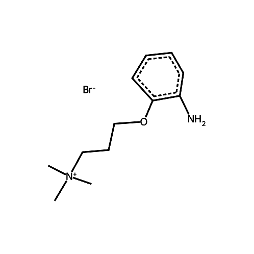 C[N+](C)(C)CCCOc1ccccc1N.[Br-]